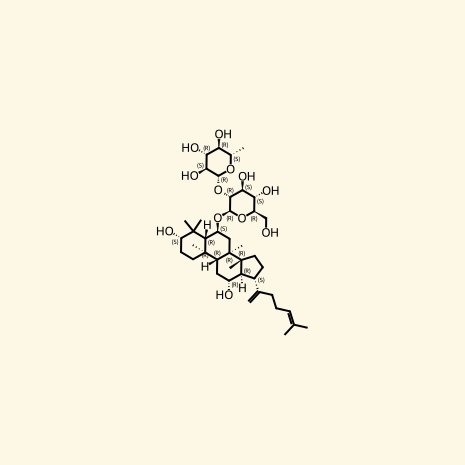 C=C(CCC=C(C)C)[C@H]1CC[C@]2(C)[C@@H]1[C@H](O)C[C@@H]1[C@@]3(C)CC[C@H](O)C(C)(C)[C@@H]3[C@@H](O[C@@H]3O[C@H](CO)[C@@H](O)[C@H](O)[C@H]3O[C@H]3O[C@@H](C)[C@H](O)[C@@H](O)[C@@H]3O)C[C@]12C